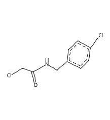 O=C(CCl)NCc1ccc(Cl)cc1